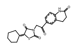 O=C1CCc2cc(C(=O)CN3C(=O)SC(=C4CCCCC4)C3=O)ccc2N1